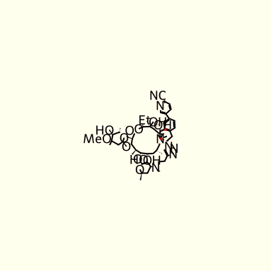 CC[C@H]1OC(=O)[C@H](C)[C@@H](O[C@H]2C[C@@](C)(OC)[C@@H](O)[C@H](C)O2)[C@H](C)[C@@H](O[C@@H]2O[C@H](C)C[C@H](N(C)CCc3cn([C@H](CF)Cc4ccc(-c5ccc(C#N)nc5)cc4)nn3)[C@H]2O)[C@](C)(O)C[C@@H](C)CN(C)[C@H](C)[C@@H](O)[C@]1(C)O